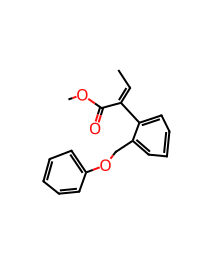 CC=C(C(=O)OC)c1ccccc1COc1ccccc1